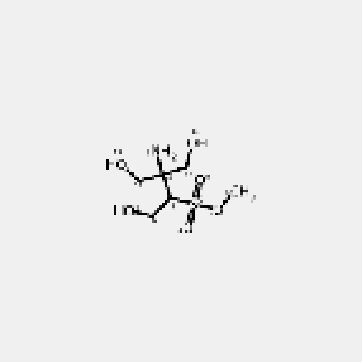 COS(=O)(=O)C(CO)C(N)(CO)CO